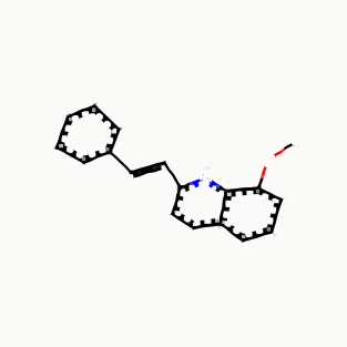 COc1cccc2ccc(/C=C/c3ccccc3)nc12